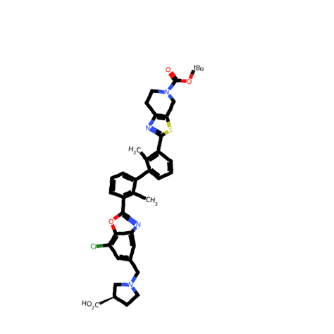 Cc1c(-c2nc3cc(CN4CC[C@@H](C(=O)O)C4)cc(Cl)c3o2)cccc1-c1cccc(-c2nc3c(s2)CN(C(=O)OC(C)(C)C)CC3)c1C